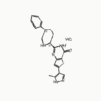 Cc1[nH]ncc1-c1cc2nc([C@@H]3CC[C@H](c4ccccc4)CN3)[nH]c(=O)c2s1.Cl